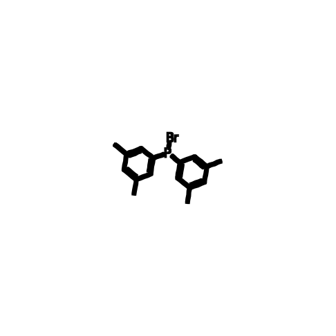 Cc1cc(C)cc(P(Br)c2cc(C)cc(C)c2)c1